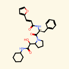 O=C(C=Cc1ccco1)N[C@@H](Cc1ccccc1)C(=O)N1CCCC1C(O)C(=O)NC1CCCCC1